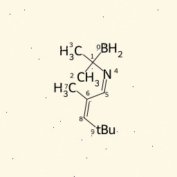 BC(C)(C)/N=C\C(C)=C/C(C)(C)C